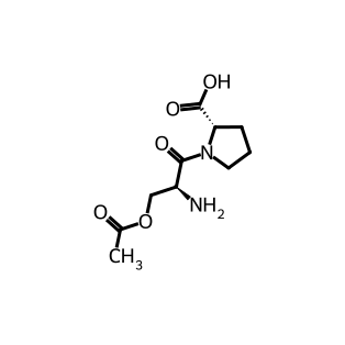 CC(=O)OC[C@H](N)C(=O)N1CCC[C@H]1C(=O)O